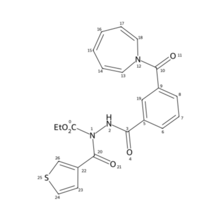 CCOC(=O)N(NC(=O)c1cccc(C(=O)N2C=CC=CC=C2)c1)C(=O)c1ccsc1